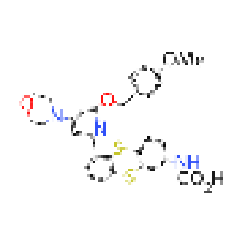 COc1ccc(COc2cc(N3CCOCC3)cc(-c3cccc4c3Sc3ccc(NC(=O)O)cc3S4)n2)cc1